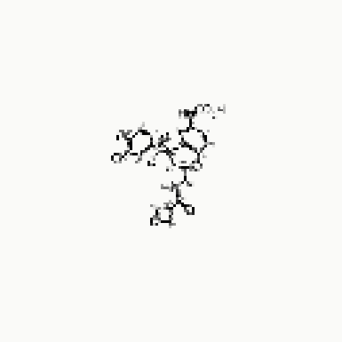 O=C(O)Nc1ccc2c(c1)N(S(=O)(=O)c1ccc(F)c(Cl)c1)CC(CNC(=O)C1COC1)O2